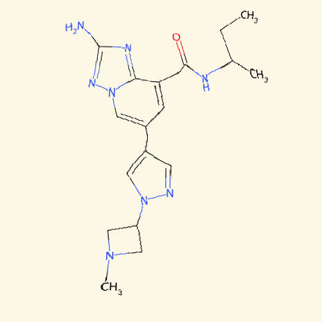 CCC(C)NC(=O)c1cc(-c2cnn(C3CN(C)C3)c2)cn2nc(N)nc12